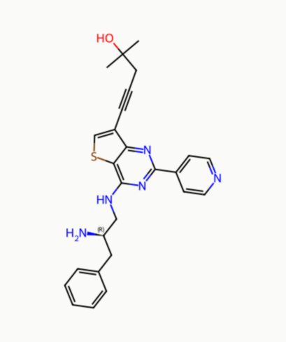 CC(C)(O)CC#Cc1csc2c(NC[C@H](N)Cc3ccccc3)nc(-c3ccncc3)nc12